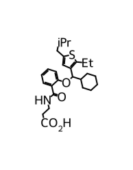 CCc1sc(CC(C)C)cc1C(Oc1ccccc1C(=O)NCCC(=O)O)C1CCCCC1